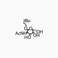 CC(=O)N[C@H]1[C@H](OCCC(C)(C)C)O[C@H](CO)[C@@H](O)[C@@H]1O